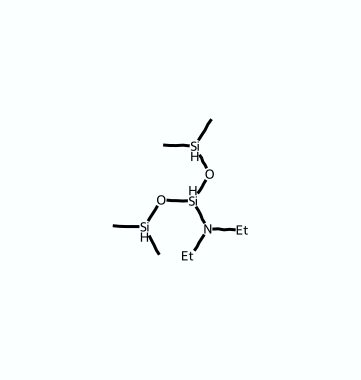 CCN(CC)[SiH](O[SiH](C)C)O[SiH](C)C